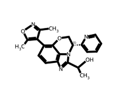 Cc1noc(C)c1-c1ccc2nc(C(C)O)n3c2c1OC[C@@H]3c1ccccn1